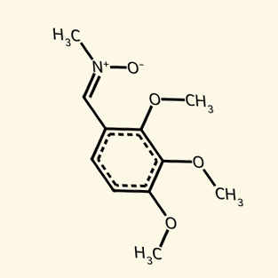 COc1ccc(C=[N+](C)[O-])c(OC)c1OC